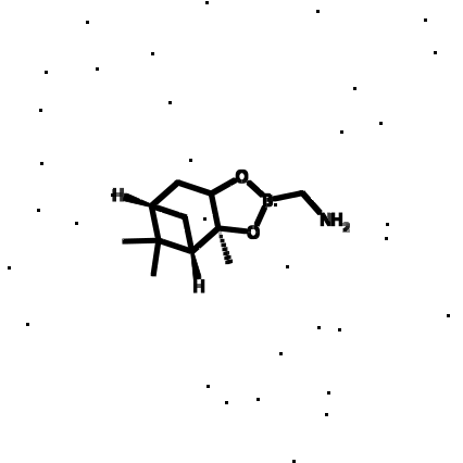 CC1(C)[C@@H]2CC3OB(CN)O[C@@]3(C)[C@H]1C2